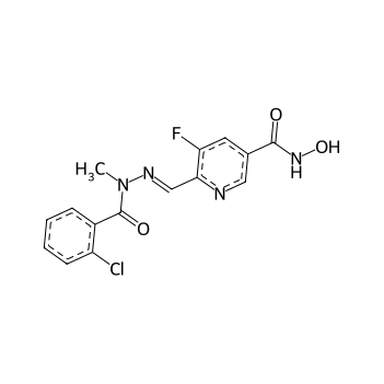 CN(N=Cc1ncc(C(=O)NO)cc1F)C(=O)c1ccccc1Cl